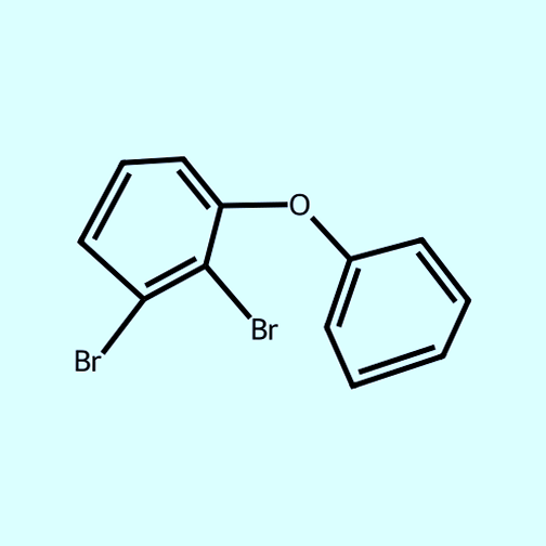 Brc1cccc(Oc2ccccc2)c1Br